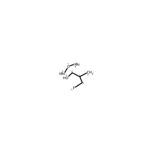 [CH2]C(CO)CF.[CH2]CCCOCCCC